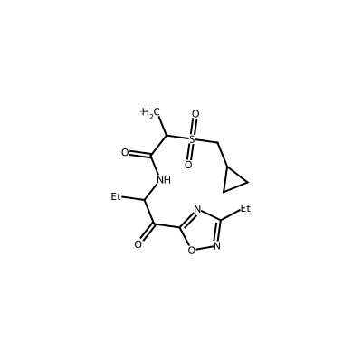 [CH2]C(C(=O)NC(CC)C(=O)c1nc(CC)no1)S(=O)(=O)CC1CC1